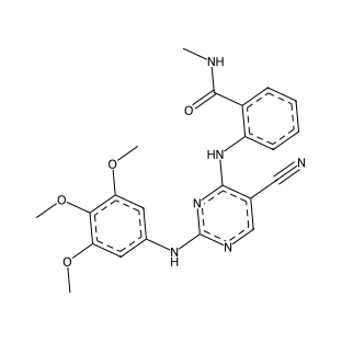 CNC(=O)c1ccccc1Nc1nc(Nc2cc(OC)c(OC)c(OC)c2)ncc1C#N